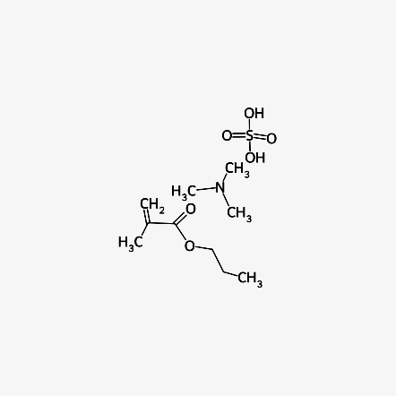 C=C(C)C(=O)OCCC.CN(C)C.O=S(=O)(O)O